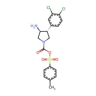 Cc1ccc(S(=O)(=O)OC(=O)N2C[C@@H](N)[C@H](c3ccc(Cl)c(Cl)c3)C2)cc1